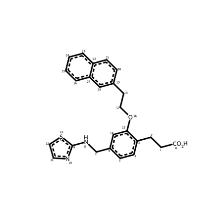 O=C(O)CCc1ccc(CNc2nccs2)cc1OCCc1ccc2ccccc2c1